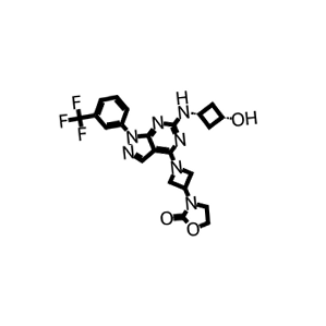 O=C1OCCN1C1CN(c2nc(N[C@H]3C[C@@H](O)C3)nc3c2cnn3-c2cccc(C(F)(F)F)c2)C1